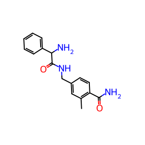 Cc1cc(CNC(=O)C(N)c2ccccc2)ccc1C(N)=O